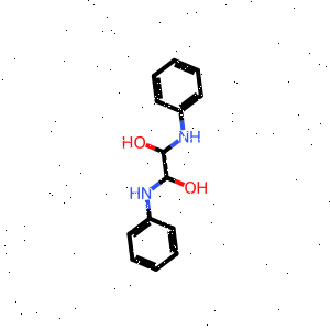 OC(Nc1ccccc1)C(O)Nc1ccccc1